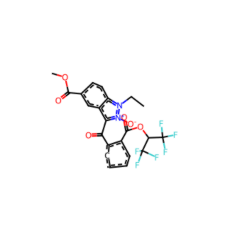 CCn1c2ccc(C(=O)OC)cc2c(C(=O)c2ccccc2C(=O)OC(C(F)(F)F)C(F)(F)F)[n+]1[O-]